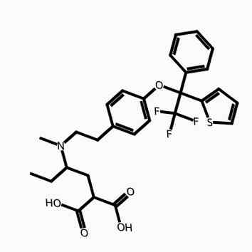 CCC(CC(C(=O)O)C(=O)O)N(C)CCc1ccc(OC(c2ccccc2)(c2cccs2)C(F)(F)F)cc1